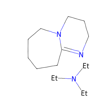 C1CCC2=NCCCN2CC1.CCN(CC)CC